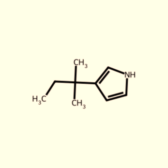 CCC(C)(C)c1cc[nH]c1